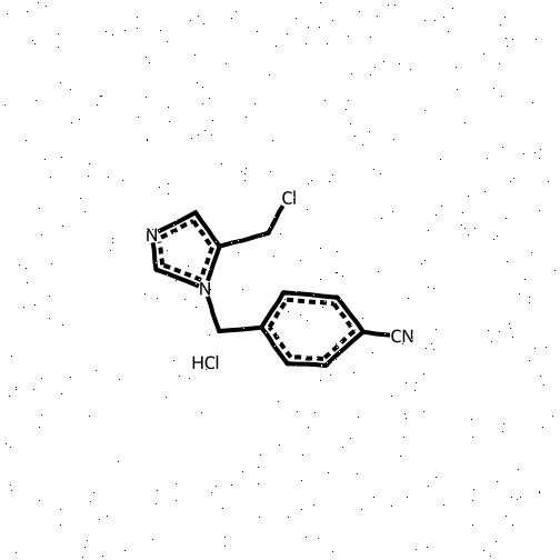 Cl.N#Cc1ccc(Cn2cncc2CCl)cc1